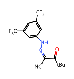 CC(C)(C)C(=O)C(C#N)=NNc1cc(C(F)(F)F)cc(C(F)(F)F)c1